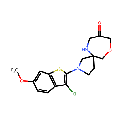 O=C1CNC2(CCN(c3sc4cc(OC(F)(F)F)ccc4c3Cl)C2)COC1